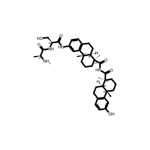 C[C@H](N)C(=O)N[C@@H](CO)C(=O)Nc1ccc2c(c1)[C@@]1(C)CCC[C@](C)(C(=O)NC(=O)[C@@]3(C)CCC[C@]4(C)c5cc(O)ccc5CC[C@@H]34)[C@@H]1CC2